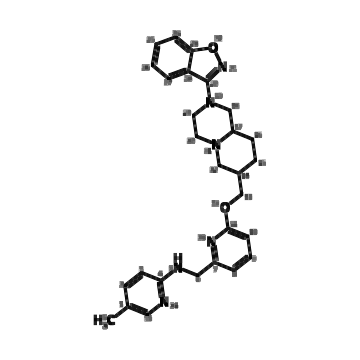 Cc1ccc(NCc2cccc(OCC3CCC4CN(c5noc6ccccc56)CCN4C3)n2)nc1